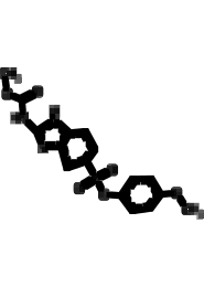 COC(=O)Nc1nc2cc(S(=O)(=O)Oc3ccc(OC)cc3)ccc2[nH]1